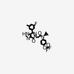 Cc1cc(F)cc(-c2nn(CC(=O)N(c3ccc4c(c3)OC(F)(F)O4)C3CC3)c(=O)c3nc[nH]c23)c1